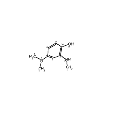 CNc1cc(N(C)C)ccc1O